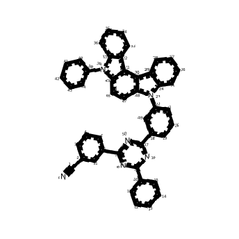 N#Cc1cccc(-c2nc(-c3ccccc3)nc(-c3cccc(-n4c5ccccc5c5c6c7ccccc7n(-c7ccccc7)c6ccc54)c3)n2)c1